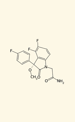 CO[C@@]1(c2ccc(F)cc2)C(=O)N(CC(N)=O)c2ccc(F)c(F)c21